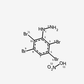 NNc1c(Br)c(Br)cc(Br)c1Br.O=[N+]([O-])O